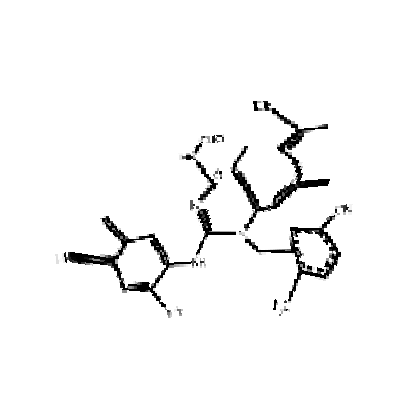 C=C1C=C(N/C(=N/C(=O)NC=O)N(Cc2cc(C#N)ccc2C(F)(F)F)C(/C=C(C)\C=C(/C)CC)=C/C)C(CCC)=CC1=N